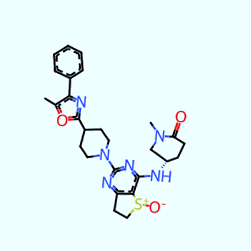 Cc1oc(C2CCN(c3nc4c(c(N[C@H]5CCC(=O)N(C)C5)n3)[S+]([O-])CC4)CC2)nc1-c1ccccc1